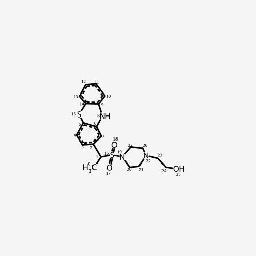 CC(c1ccc2c(c1)Nc1ccccc1S2)S(=O)(=O)N1CCN(CCO)CC1